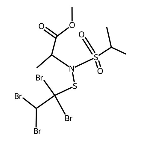 COC(=O)C(C)N(SC(Br)(Br)C(Br)Br)S(=O)(=O)C(C)C